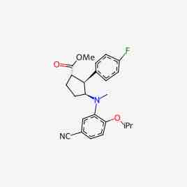 COC(=O)[C@H]1CC[C@H](N(C)c2cc(C#N)ccc2OC(C)C)[C@@H]1c1ccc(F)cc1